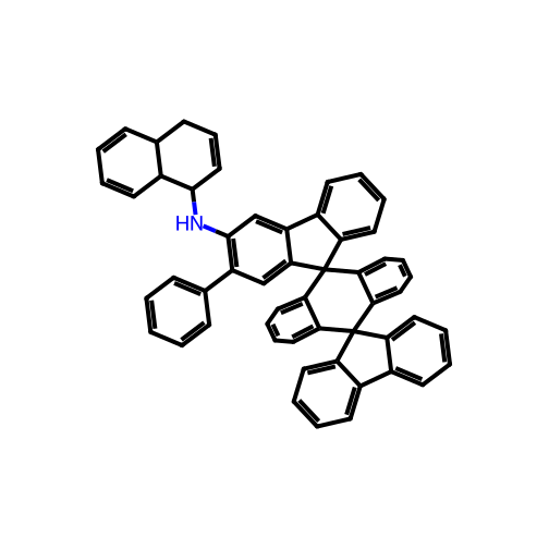 C1=CC2CC=CC(Nc3cc4c(cc3-c3ccccc3)C3(c5ccccc5-4)c4ccccc4C4(c5ccccc5-c5ccccc54)c4ccccc43)C2C=C1